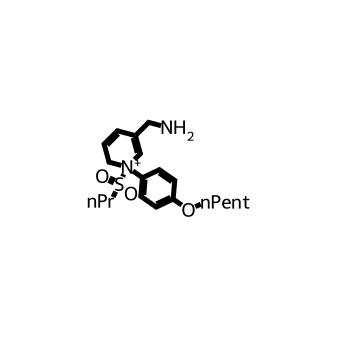 CCCCCOc1ccc([N+]2(S(=O)(=O)CCC)C=C(CN)C=CC2)cc1